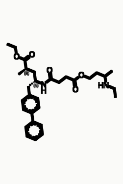 CCNC(C)CCOC(=O)CCC(=O)N[C@H](Cc1ccc(-c2ccccc2)cc1)C[C@@H](C)C(=O)OCC